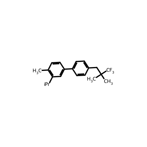 Cc1ccc(-c2ccc(CC(C)(C)C(F)(F)F)cc2)cc1C(C)C